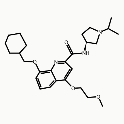 COCCOc1cc(C(=O)N[C@H]2CCN(C(C)C)C2)nc2c(OCC3CCCCC3)cccc12